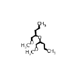 CCCC(COC)OC(CCC)COC